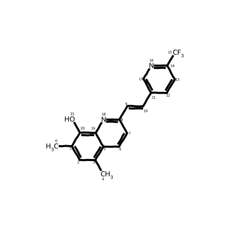 Cc1cc(C)c2ccc(C=Cc3ccc(C(F)(F)F)nc3)nc2c1O